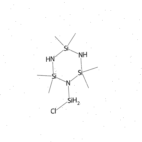 C[Si]1(C)N[Si](C)(C)N([SiH2]Cl)[Si](C)(C)N1